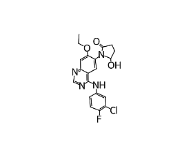 CCOc1cc2ncnc(Nc3ccc(F)c(Cl)c3)c2cc1N1C(=O)CCC1O